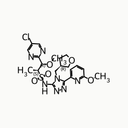 COc1cccc(-c2nnc(NS(=O)(=O)[C@@H](C)[C@H](OC)c3ncc(Cl)cn3)n2C[C@H]2CCOC2)n1